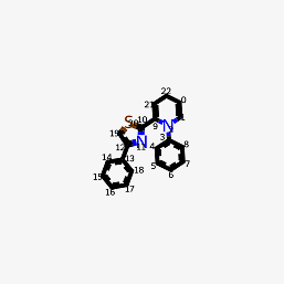 C1=CN(c2ccccc2)C(c2nc(-c3ccccc3)cs2)=CC1